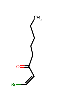 CCCCCC(=O)/C=C\Br